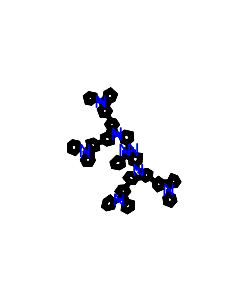 c1ccc(-c2nc(-c3cccc(-n4c5ccc(-c6ccc7c(c6)c6ccccc6n7-c6ccccc6)cc5c5cc(-c6ccc7c(c6)c6ccccc6n7-c6ccccc6)ccc54)c3)nc3ccc(-n4c5ccc(-c6ccc7c(c6)c6ccccc6n7-c6ccccc6)cc5c5cc(-c6ccc7c(c6)c6ccccc6n7-c6ccccc6)ccc54)cc23)cc1